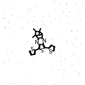 CC1C2(C)c3nc4c(-c5cccs5)sc(-c5cccs5)c4nc3C3C2C31C